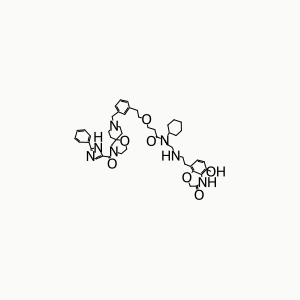 O=C1COc2c(CCNCCN(C(=O)CCOCCc3cccc(CN4CCC5(CC4)CN(C(=O)c4cnc(-c6ccccc6)[nH]4)CCO5)c3)C3CCCCC3)ccc(O)c2N1